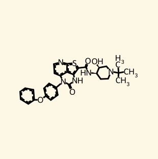 CC(C)(C)N1CC[C@@H](NC(=O)c2sc3nccc4c3c2NC(=O)N4c2ccc(Oc3ccccc3)cc2)[C@@H](O)C1